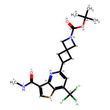 CNC(=O)c1csc2c(C(F)(F)F)cc(C3CC4(C3)CN(C(=O)OC(C)(C)C)C4)nc12